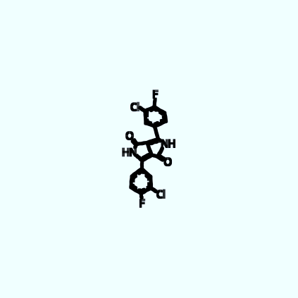 O=C1NC(c2ccc(F)c(Cl)c2)=C2C(=O)NC(c3ccc(F)c(Cl)c3)=C12